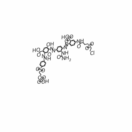 NC(=O)Nc1cc(N=Nc2c(O)cc(C(=O)O)c(N=Nc3ccc(S(=O)(=O)CCOS(=O)(=O)O)cc3)c2O)ccc1N=Nc1ccc(NC(=O)CCCS(=O)(=O)CCCl)cc1S(=O)(=O)O